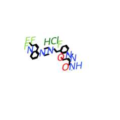 CNC(=O)c1ncn2c1COc1c-2ccc(F)c1CCN1CCN(c2cccc3nc(C(F)(F)F)ccc23)CC1.Cl